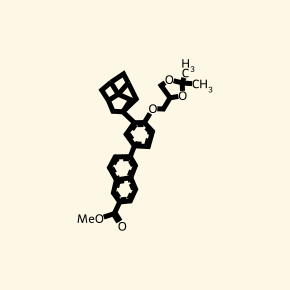 COC(=O)c1ccc2cc(-c3ccc(OCC4COC(C)(C)O4)c(C45CC6CC7CC(C4)C76C5)c3)ccc2c1